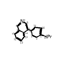 CC(C)c1ccc(-c2cncc3ccccc23)cc1